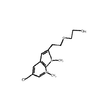 Cn1c(CCOCCO)cc2cc(Cl)c[n+](C)c21